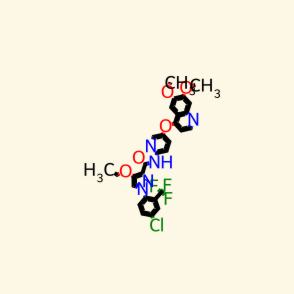 CCOc1cn(-c2ccc(Cl)cc2C(F)(F)F)nc1C(=O)Nc1ccc(Oc2ccnc3cc(OC)c(OC)cc23)cn1